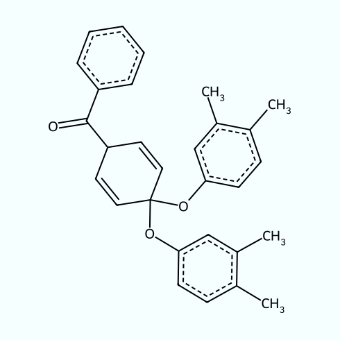 Cc1ccc(OC2(Oc3ccc(C)c(C)c3)C=CC(C(=O)c3ccccc3)C=C2)cc1C